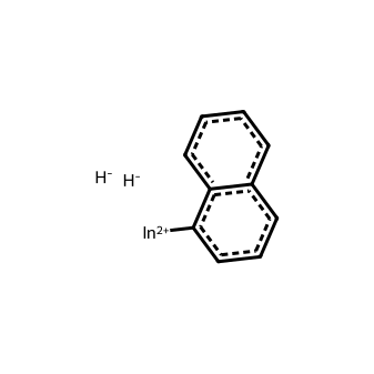 [H-].[H-].[In+2][c]1cccc2ccccc12